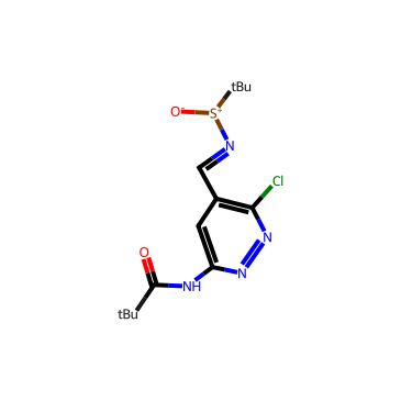 CC(C)(C)C(=O)Nc1cc(C=N[S+]([O-])C(C)(C)C)c(Cl)nn1